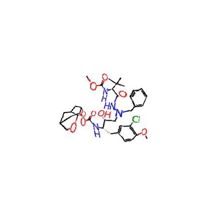 COC(=O)N[C@H](C(=O)NN(Cc1ccccc1)C[C@@H](O)[C@H](Cc1ccc(OC)c(Cl)c1)NC(=O)OC1C2COC3OC1CC3C2)C(C)(C)C